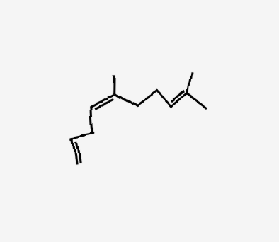 C=CCC=C(C)CCC=C(C)C